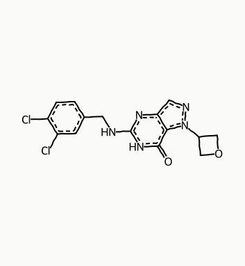 O=c1[nH]c(NCc2ccc(Cl)c(Cl)c2)nc2cnn(C3COC3)c12